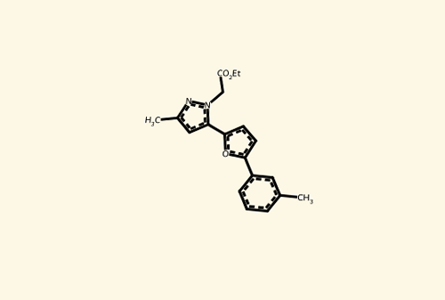 CCOC(=O)Cn1nc(C)cc1-c1ccc(-c2cccc(C)c2)o1